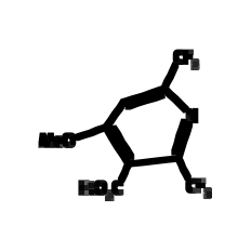 CCOC(=O)c1c(OC)cc(C(F)(F)F)nc1C(F)(F)F